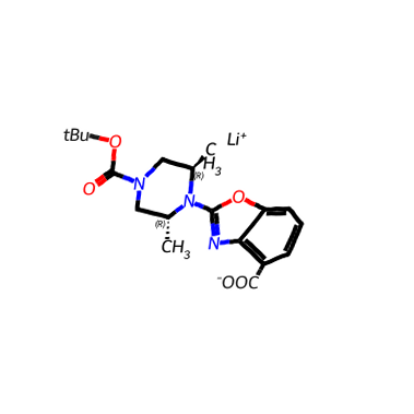 C[C@@H]1CN(C(=O)OC(C)(C)C)C[C@@H](C)N1c1nc2c(C(=O)[O-])cccc2o1.[Li+]